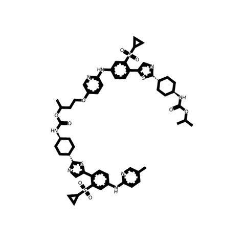 Cc1ccc(Nc2ccc(-c3cnc([C@H]4CC[C@H](NC(=O)OC(C)CCOc5ccc(Nc6ccc(-c7cnc([C@H]8CC[C@H](NC(=O)OC(C)C)CC8)s7)c(S(=O)(=O)C7CC7)c6)nc5)CC4)s3)c(S(=O)(=O)C3CC3)c2)nc1